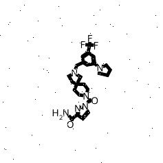 NC(=O)c1ccn(C(=O)N2CCC3(CCN(Cc4cc(N5CCCC5)cc(C(F)(F)F)c4)C3)CC2)n1